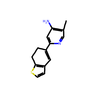 Cc1cnc(C2=Cc3ccsc3CC2)cc1N